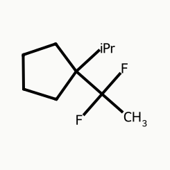 CC(C)C1(C(C)(F)F)CCCC1